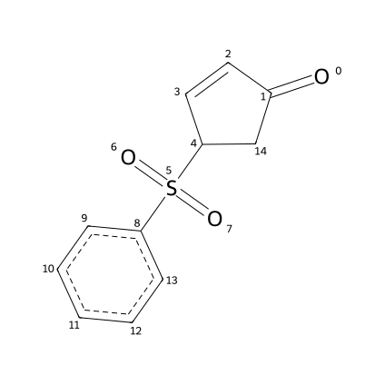 O=C1C=CC(S(=O)(=O)c2ccccc2)C1